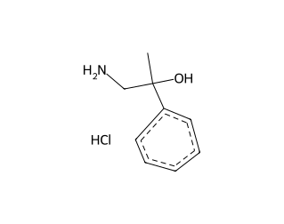 CC(O)(CN)c1ccccc1.Cl